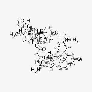 C[C@H](CCC(=O)O)[C@H]1CC[C@H]2[C@@H]3[C@H](OC(=O)CCCCN)C[C@@H]4C[C@@H](OCCN(C)c5ccc([C@H]6C[C@@]7(C)C(CC[C@]7(C)O)C7CCC8=CC(=O)CCC8=C76)cc5)CC[C@]4(C)[C@H]3C[C@H](O)[C@]12C